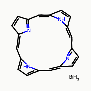 C1=Cc2cc3ccc(cc4nc(cc5ccc(cc1n2)[nH]5)C=C4)[nH]3.[BiH3]